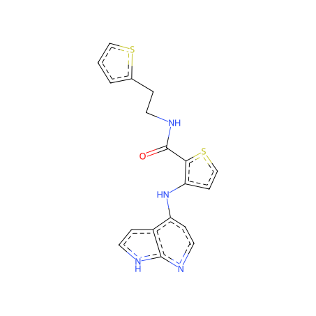 O=C(NCCc1cccs1)c1sccc1Nc1ccnc2[nH]ccc12